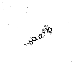 Cc1ccc(F)cc1NC(=O)Nc1ccc(Oc2ccnc(-c3cnn(C)c3)c2)cc1F